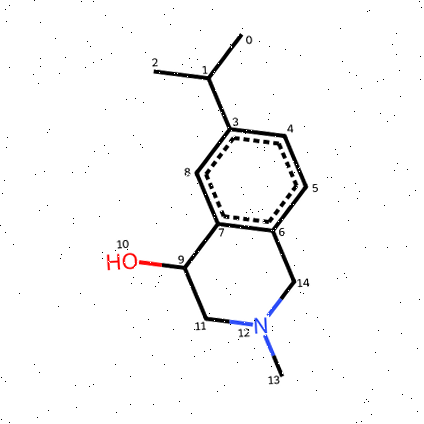 CC(C)c1ccc2c(c1)C(O)CN(C)C2